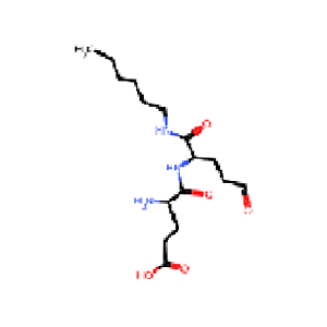 CCCCCCNC(=O)C(CCC=O)NC(=O)C(N)CCC(=O)O